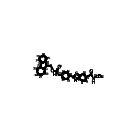 CC(C)(C)NC(=O)c1ccc2nc(-c3ccc(NC(=O)OCC4c5ccccc5-c5ccccc54)cc3)sc2c1